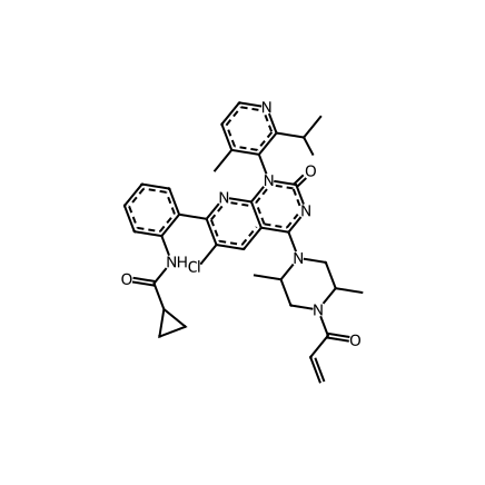 C=CC(=O)N1CC(C)N(c2nc(=O)n(-c3c(C)ccnc3C(C)C)c3nc(-c4ccccc4NC(=O)C4CC4)c(Cl)cc23)CC1C